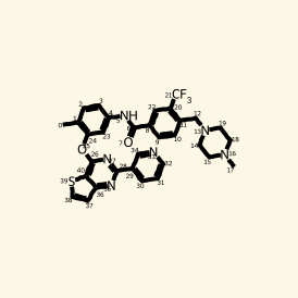 Cc1ccc(NC(=O)c2ccc(CN3CCN(C)CC3)c(C(F)(F)F)c2)cc1Oc1nc(-c2cccnc2)nc2ccsc12